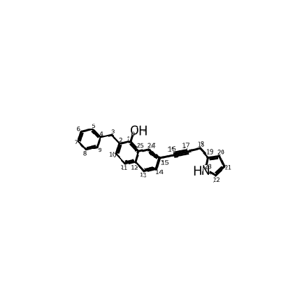 Oc1c(Cc2ccccc2)ccc2ccc(C#CCc3ccc[nH]3)cc12